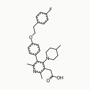 Cc1nc(C)c(-c2ccc(OCCc3ccc(F)cc3)cc2)c(N2CCC(C)CC2)c1CC(=O)O